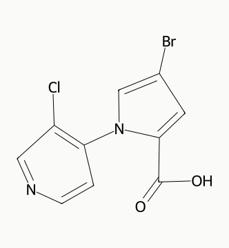 O=C(O)c1cc(Br)cn1-c1ccncc1Cl